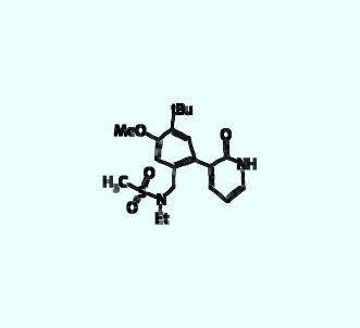 CCN(Cc1cc(OC)c(C(C)(C)C)cc1-c1ccc[nH]c1=O)S(C)(=O)=O